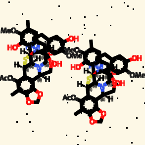 COc1cc2c(cc1O)CCN[C@]21CS[C@@H]2c3c(OC(C)=O)c(C)c4c(c3[C@H](COC1=O)N1[C@@H]2[C@H]2c3c(cc(C)c(OC)c3O)C[C@@H]([C@@H]1O)N2C)OCO4.COc1cc2c(cc1O)CCN[C@]21CS[C@@H]2c3c(OC(C)=O)c(C)c4c(c3[C@H](COC1=O)N1[C@@H]2[C@H]2c3c(cc(C)c(OC)c3O)C[C@@H]([C@@H]1O)N2C)OCO4